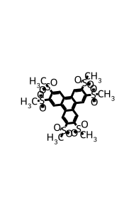 CS(=O)(=O)c1cc2c3cc(S(C)(=O)=O)c(S(C)(=O)=O)cc3c3cc(S(C)(=O)=O)c(S(C)(=O)=O)cc3c2cc1S(C)(=O)=O